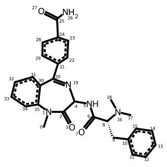 CN1C(=O)C(NC(=O)[C@@H](Cc2ccccc2)N(C)C)N=C(c2ccc(C(N)=O)cc2)c2ccccc21